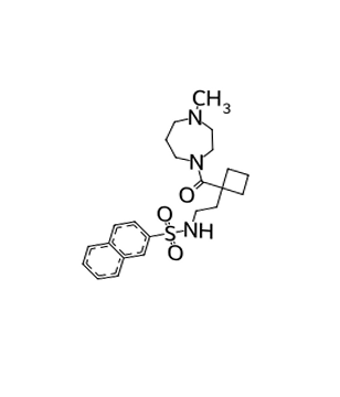 CN1CCCN(C(=O)C2(CCNS(=O)(=O)c3ccc4ccccc4c3)CCC2)CC1